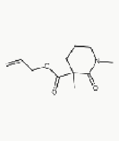 C=CCOC(=O)C1(C)CCCN(C)C1=O